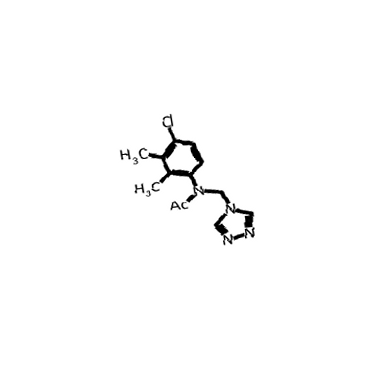 CC(=O)N(Cn1cnnc1)c1ccc(Cl)c(C)c1C